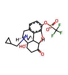 O=C1CC[C@@]2(O)[C@H]3Cc4ccc(OS(=O)(=O)C(F)(F)F)c5c4[C@@]2(CCN3CC2CC2)[C@H]1O5